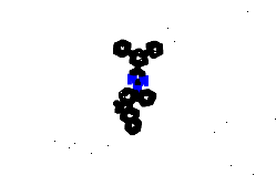 CC1(C)c2cc3ccccc3cc2-c2c1ccc1c2c2ccccc2n1-c1ncc(-c2cc(-c3ccccc3)cc(-c3ccccc3)c2)cn1